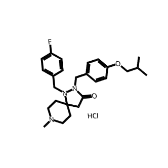 CC(C)COc1ccc(CN2C(=O)CC3(CCN(C)CC3)N2Cc2ccc(F)cc2)cc1.Cl